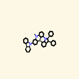 CN1c2cc(N3c4ccccc4C4C=CC=CC43)ccc2B2c3c1cccc3-n1c(-c3ccccc3)c(-c3ccccc3)c3cccc2c31